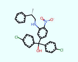 C[C@H](CNc1cc(C(O)(c2ccc(Cl)cc2)c2ccc(Cl)cc2)ccc1[N+](=O)[O-])c1ccccc1